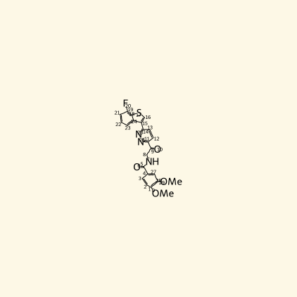 COc1ccc(C(=O)NCC(=O)c2ccc(-c3csc4c(F)cccc34)nn2)cc1OC